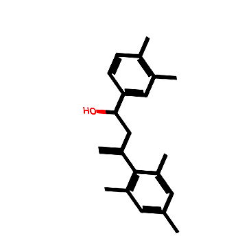 C=C(CC(O)c1ccc(C)c(C)c1)c1c(C)cc(C)cc1C